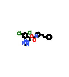 O=C(OC(Cn1ncnn1)c1ccc(Cl)cc1Cl)N1CCC(CCc2ccccc2)C1